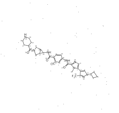 Cn1c(-c2cn(C3CCC3)nc2C(F)(F)F)cnc1C(=O)Nc1ccc(C(=O)NC2C3CN(C(=O)C4CCNCC4)CC32)c(Cl)c1